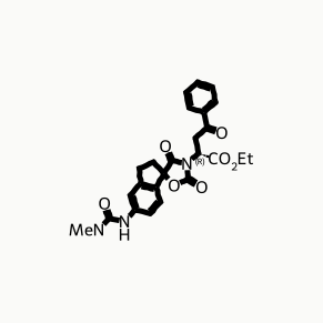 CCOC(=O)[C@@H](CC(=O)c1ccccc1)N1C(=O)OC2(CCc3cc(NC(=O)NC)ccc32)C1=O